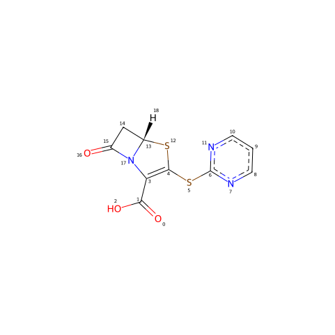 O=C(O)C1=C(Sc2ncccn2)S[C@H]2CC(=O)N12